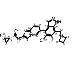 O=C(Nc1cn2cc(-c3c(Cl)c(F)c(CN4CCC4)c4[nH]ncc34)ccc2n1)[C@@H]1C[C@@H]1F